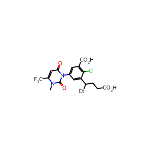 CCC(CCC(=O)O)c1cc(-n2c(=O)cc(C(F)(F)F)n(C)c2=O)cc(C(=O)O)c1Cl